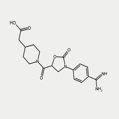 N=C(N)c1ccc(N2CC(C(=O)N3CCC(CC(=O)O)CC3)OC2=O)cc1